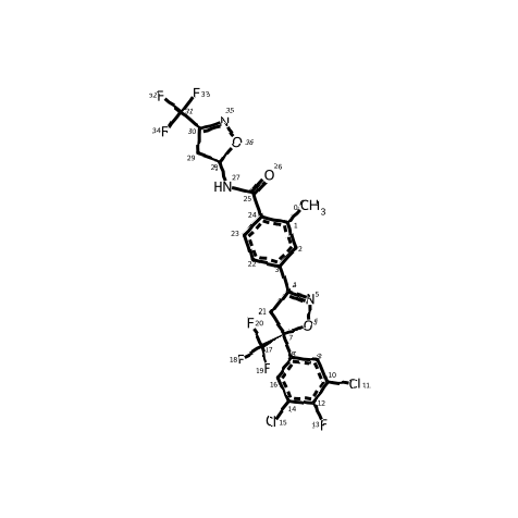 Cc1cc(C2=NO[C@@](c3cc(Cl)c(F)c(Cl)c3)(C(F)(F)F)C2)ccc1C(=O)NC1CC(C(F)(F)F)=NO1